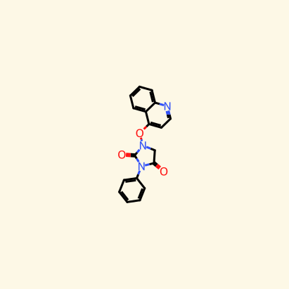 O=C1CN(Oc2ccnc3ccccc23)C(=O)N1c1ccccc1